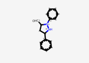 O=CC1CC(c2ccccc2)NN1c1ccccc1